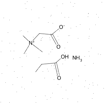 CCC(=O)O.C[N+](C)(C)CC(=O)[O-].N